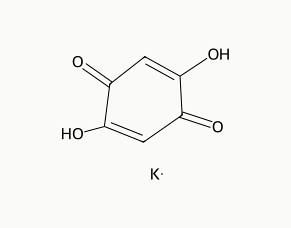 O=C1C=C(O)C(=O)C=C1O.[K]